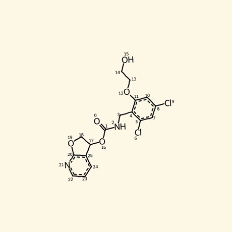 O=C(NCc1c(Cl)cc(Cl)cc1OCCO)OC1COc2ncccc21